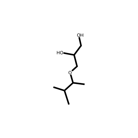 CC(C)C(C)OCC(O)CO